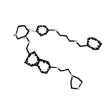 c1ccc(COCCCOc2ccc([C@H]3CCNC[C@@H]3OCc3ccc4ccc(OCCN5CCOCC5)cc4c3)cc2)cc1